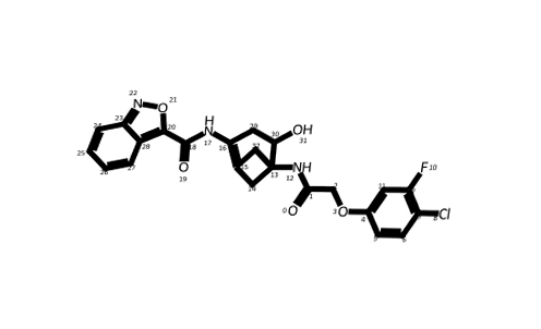 O=C(COc1ccc(Cl)c(F)c1)NC12CC(=C(NC(=O)c3onc4ccccc34)CC1O)C2